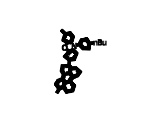 CCCCc1ccc(N2c3ccc(C)cc3Oc3cc(-c4ccc5c6ccc(C)c7cccc(c8cccc4c85)c76)ccc32)cc1